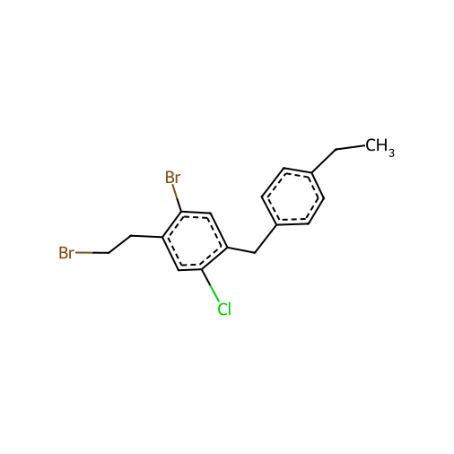 CCc1ccc(Cc2cc(Br)c(CCBr)cc2Cl)cc1